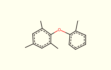 [CH2]c1ccccc1Oc1c(C)cc(C)cc1C